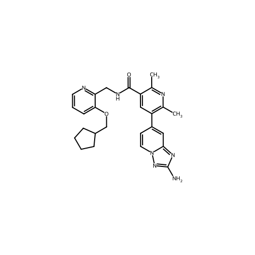 Cc1nc(C)c(-c2ccn3nc(N)nc3c2)cc1C(=O)NCc1ncccc1OCC1CCCC1